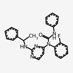 CC(Nc1nccc(N(C(=O)Nc2ccccc2)c2ccccc2F)n1)c1ccccc1